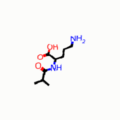 CC(C)C(=O)NC(CCCN)C(=O)O